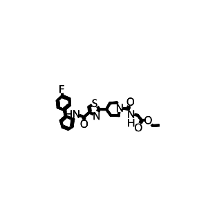 CCOC(=O)CNC(=O)N1CCC(c2nc(C(=O)Nc3ccccc3-c3ccc(F)cc3)cs2)CC1